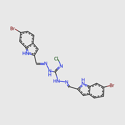 ClN=C(N/N=C/c1cc2ccc(Br)cc2[nH]1)N/N=C/c1cc2ccc(Br)cc2[nH]1